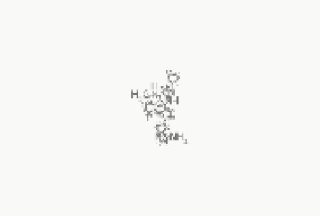 CC(NC(=O)c1cn(-c2ccccc2)nc1NCc1ccc(-c2ccc3ncnc(N)c3c2)s1)c1ccc(F)c(F)c1